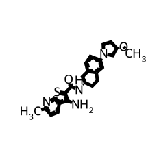 CO[C@@H]1CCN(c2ccc3c(c2)CC[C@H](NC(=O)c2sc4nc(C)ccc4c2N)C3)C1